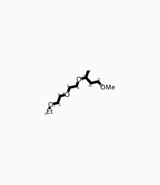 CCOCCOCCOC(C)CCOC